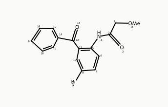 COCC(=O)Nc1ccc(Br)cc1C(=O)c1ccccc1